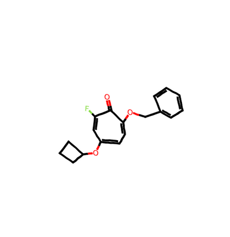 O=c1c(F)cc(OC2CCC2)ccc1OCc1ccccc1